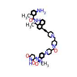 Cc1ccc(N)cc1C(=O)N[C@H](C)c1ccc(C#CC2CCN(CC3CCN(C(=O)C4CCN(c5ccc6c(c5)n(C)c(=O)n6C5CCC(=O)NC5=O)CC4)CC3)CC2)c2ccccc12